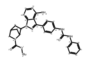 CC(C)(C)OC(=O)N1CC2CC1C(n1nc(-c3ccc(NC(=O)Nc4ccccc4)cc3)c3c(N)ncnc31)C2